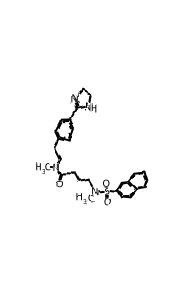 CN(CCc1ccc(C2=NCCN2)cc1)C(=O)CCCN(C)S(=O)(=O)c1ccc2ccccc2c1